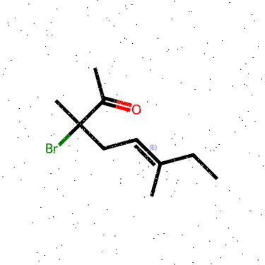 CC/C(C)=C/CC(C)(Br)C(C)=O